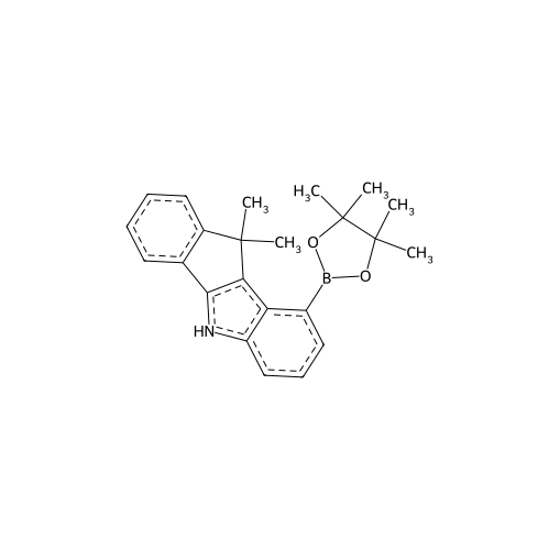 CC1(C)c2ccccc2-c2[nH]c3cccc(B4OC(C)(C)C(C)(C)O4)c3c21